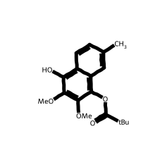 COc1c(OC)c(OC(=O)C(C)(C)C)c2cc(C)ccc2c1O